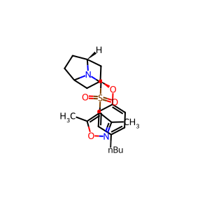 CCCCc1ccc(O[C@H]2CC3CC[C@H](C2)N3CS(=O)(=O)c2c(C)noc2C)cc1